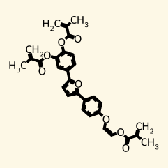 C=C(C)C(=O)O/C=C\Oc1ccc(-c2ccc(-c3ccc(OC(=O)C(=C)C)c(OC(=O)C(=C)C)c3)o2)cc1